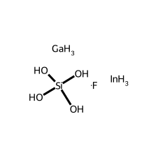 O[Si](O)(O)O.[F].[GaH3].[InH3]